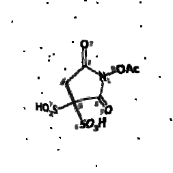 CC(=O)ON1C(=O)CC(S(=O)(=O)O)(S(=O)(=O)O)C1=O